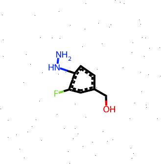 NNc1ccc(CO)cc1F